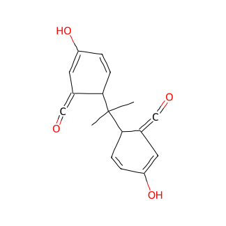 CC(C)(C1C=CC(O)=CC1=C=O)C1C=CC(O)=CC1=C=O